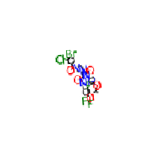 O=C(NCc1ccc(OC(F)F)cc1F)c1c2n(c(=O)n1-c1ccc(OC3CC3)cc1)CCN(C(=O)c1ccc(Br)c(Cl)c1)C2